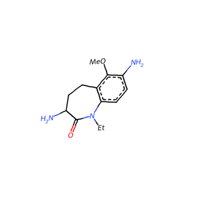 CCN1C(=O)C(N)CCc2c1ccc(N)c2OC